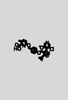 COc1cncc(Cl)c1-c1noc(C2CC2)c1COC12CCC(COc3ccc(C)c(C(=O)O)n3)(CC1)CC2